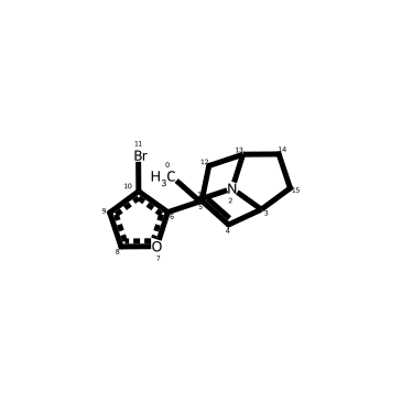 CCN1C2C=C(c3occc3Br)CC1CC2